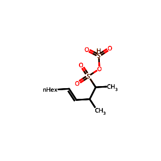 CCCCCCC=CC(C)C(C)S(=O)(=O)O[SH](=O)=O